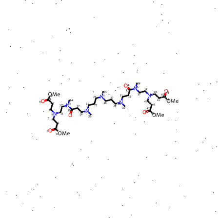 COC(=O)CCN(CCC(=O)OC)CCN(C)C(=O)CCN(C)CCCN(C)CCCN(C)CCC(=O)N(C)CCN(CCC(=O)OC)CCC(=O)OC